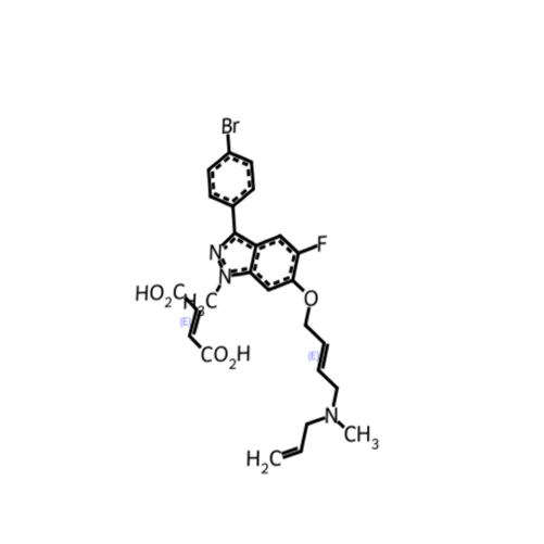 C=CCN(C)C/C=C/COc1cc2c(cc1F)c(-c1ccc(Br)cc1)nn2C.O=C(O)/C=C/C(=O)O